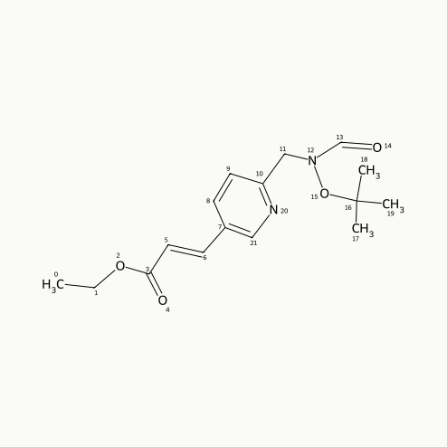 CCOC(=O)C=Cc1ccc(CN(C=O)OC(C)(C)C)nc1